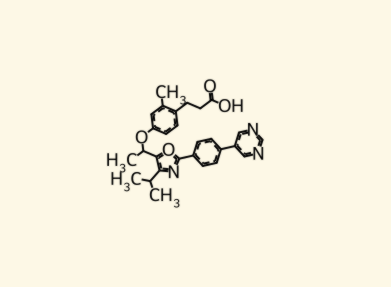 Cc1cc(OC(C)c2oc(-c3ccc(-c4cncnc4)cc3)nc2C(C)C)ccc1CCC(=O)O